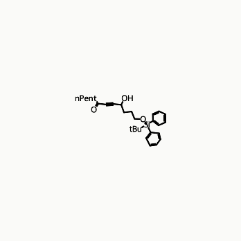 CCCCCC(=O)C#CC(O)CCCO[Si](c1ccccc1)(c1ccccc1)C(C)(C)C